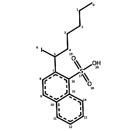 CCCCCC(I)c1ccc2ccccc2c1S(=O)(=O)O